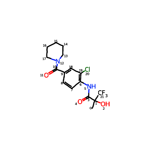 CC(O)(C(=O)Nc1ccc(C(=O)N2CCCCC2)cc1Cl)C(F)(F)F